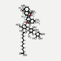 C/C=C1/C2CC(C)(C)CCC2(C(=O)O[C@@H]2O[C@H](CO)C(NC(=O)CCCCCCCCCCC(=O)O)C(O)C2O[C@@H]2O[C@H](C)C(O[C@@H]3OC[C@@H](O)C(O)C3O)C(O)C2O)[C@@H](O)C[C@@]1(C)[C@]1(C)CC[C@H]2C(C)(C=O)C(O)CCC2(C)C1CC